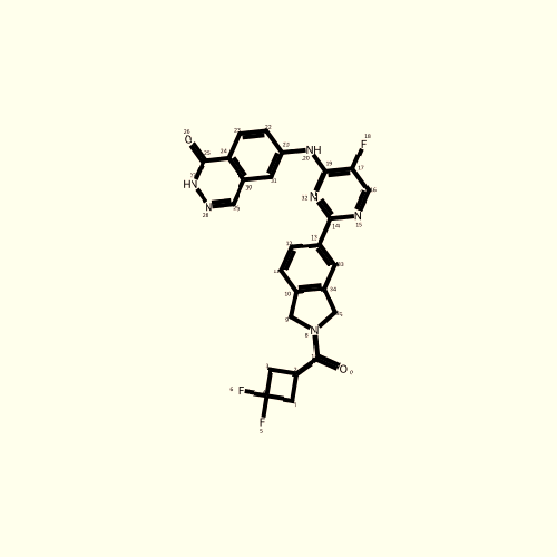 O=C(C1CC(F)(F)C1)N1Cc2ccc(-c3ncc(F)c(Nc4ccc5c(=O)[nH]ncc5c4)n3)cc2C1